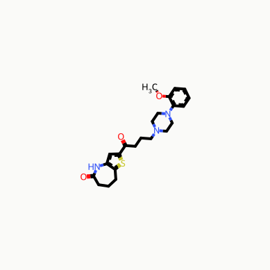 COc1ccccc1N1CCN(CCCC(=O)c2cc3c(s2)CCCC(=O)N3)CC1